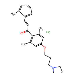 Cc1ccccc1/C=C/C(=O)c1c(C)cc(OCCCN2CCCC2)cc1C.Cl